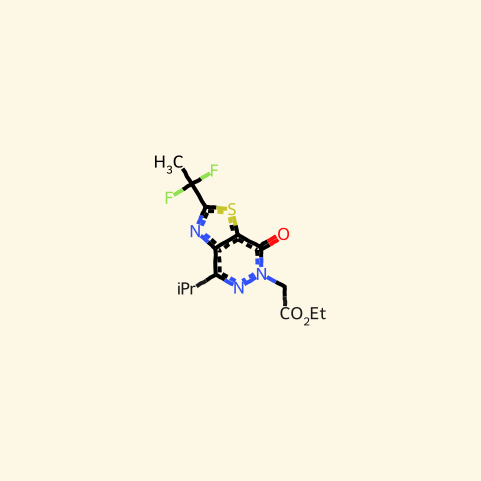 CCOC(=O)Cn1nc(C(C)C)c2nc(C(C)(F)F)sc2c1=O